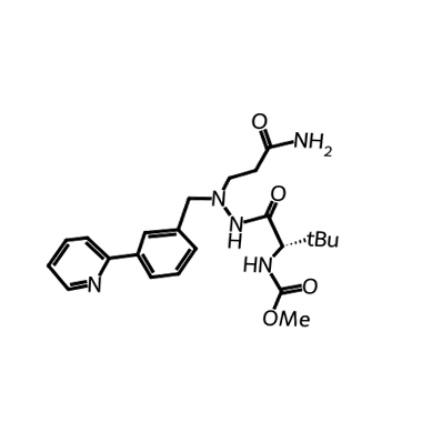 COC(=O)N[C@H](C(=O)NN(CCC(N)=O)Cc1cccc(-c2ccccn2)c1)C(C)(C)C